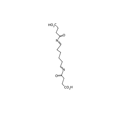 O=C(O)CCC(=O)N=CCCCCC=NC(=O)CCC(=O)O